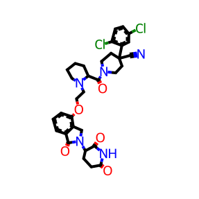 N#CC1(c2cc(Cl)ccc2Cl)CCN(C(=O)C2CCCCN2CCOc2cccc3c2CN(C2CCC(=O)NC2=O)C3=O)CC1